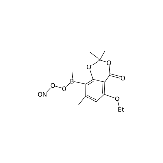 CCOc1cc(C)c(B(C)OON=O)c2c1C(=O)OC(C)(C)O2